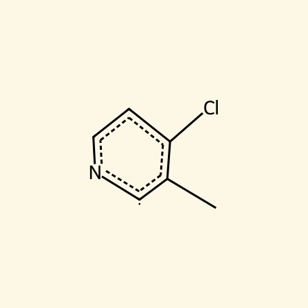 Cc1[c]nccc1Cl